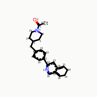 CCC(=O)N1CCC(Cc2ccc(-c3cc4c(cn3)=CCCC=4)cc2)CC1